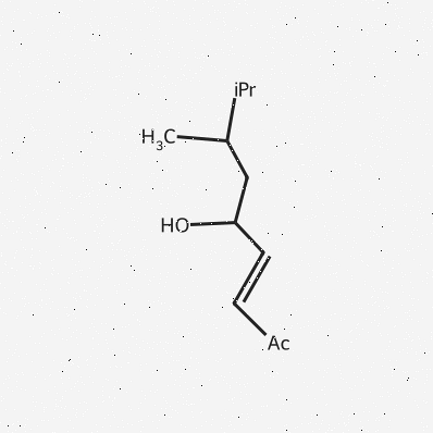 CC(=O)C=CC(O)CC(C)C(C)C